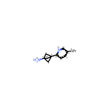 CCCc1ccc(C23CC(N)(C2)C3)nc1